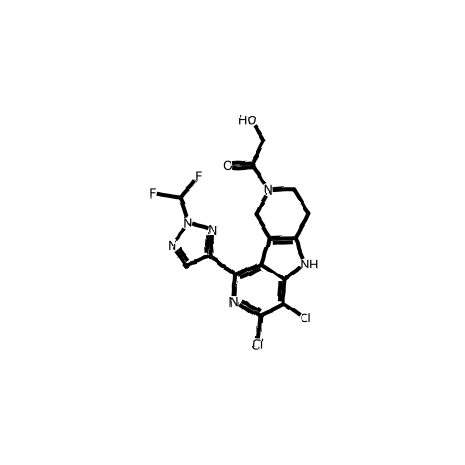 O=C(CO)N1CCc2[nH]c3c(Cl)c(Cl)nc(-c4cnn(C(F)F)n4)c3c2C1